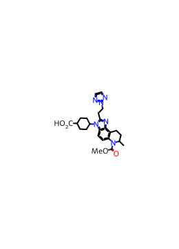 COC(=O)N1c2ccc3c(nc(CCn4nccn4)n3C3CCC(C(=O)O)CC3)c2CCC1C